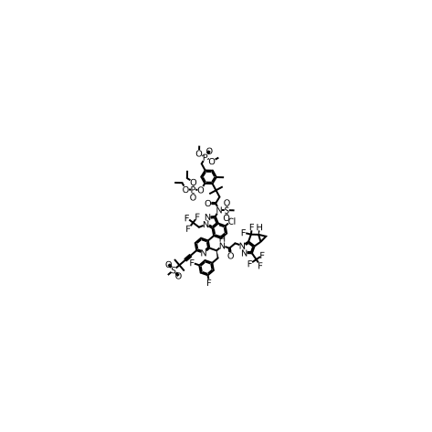 CCOP(=O)(OCC)Oc1cc(CP(=O)(OC)OC)cc(C)c1C(C)(C)CC(=O)N(c1nn(CC(F)(F)F)c2c(-c3ccc(C#CC(C)(C)S(C)(=O)=O)nc3[C@H](Cc3cc(F)cc(F)c3)NC(=O)Cn3nc(C(F)(F)F)c4c3C(F)(F)[C@@H]3CC43)ccc(Cl)c12)S(C)(=O)=O